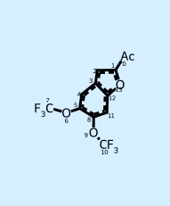 CC(=O)c1cc2cc(OC(F)(F)F)c(OC(F)(F)F)cc2o1